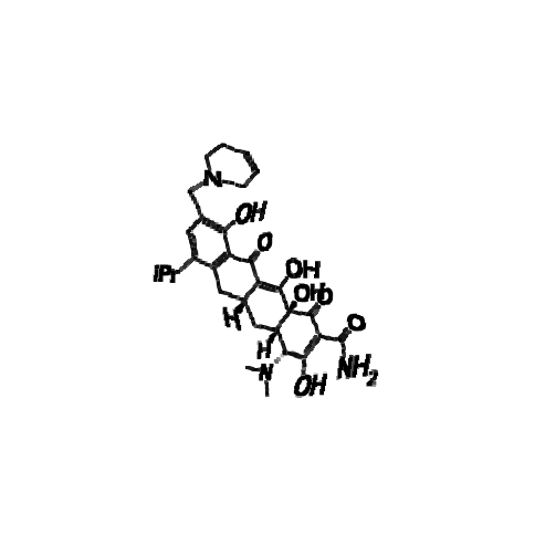 CC(C)c1cc(CN2CC=CCC2)c(O)c2c1C[C@H]1C[C@H]3[C@@H](N(C)C)C(O)=C(C(N)=O)C(=O)[C@@]3(O)C(O)=C1C2=O